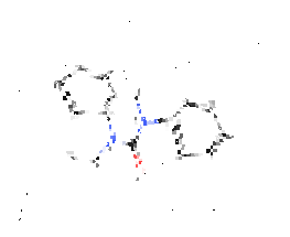 CCN(C(=O)N(C)c1ccccc1)c1ccccc1